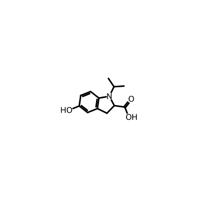 CC(C)N1c2ccc(O)cc2CC1C(=O)O